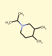 CC1CCN(C(C)C)CC1C